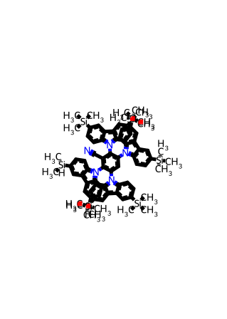 C[SiH](C)c1ccc2c(c1)c1cc([Si](C)(C)C)ccc1n2-c1cc(-n2c3ccc([Si](C)(C)C)cc3c3cc([Si](C)(C)C)ccc32)c(-n2c3ccc([Si](C)(C)C)cc3c3cc([Si](C)(C)C)ccc32)c(C#N)c1-n1c2ccc([SiH](C)C)cc2c2cc([Si](C)(C)C)ccc21